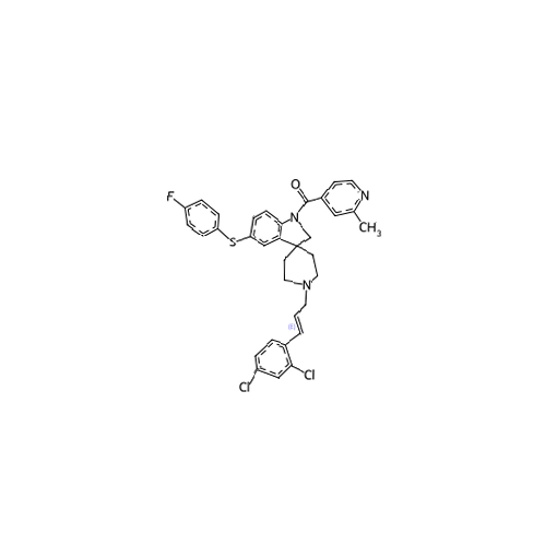 Cc1cc(C(=O)N2CC3(CCN(C/C=C/c4ccc(Cl)cc4Cl)CC3)c3cc(Sc4ccc(F)cc4)ccc32)ccn1